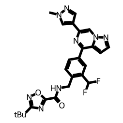 Cn1cc(-c2cn3nccc3c(-c3ccc(CNC(=O)c4nc(C(C)(C)C)no4)c(C(F)F)c3)n2)cn1